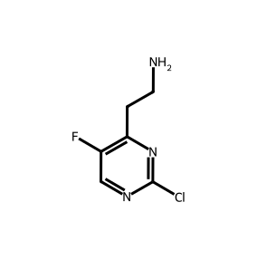 NCCc1nc(Cl)ncc1F